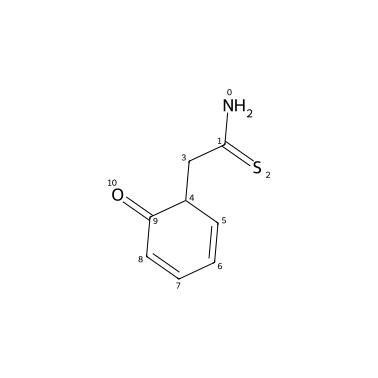 NC(=S)CC1C=CC=CC1=O